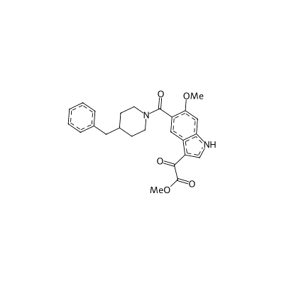 COC(=O)C(=O)c1c[nH]c2cc(OC)c(C(=O)N3CCC(Cc4ccccc4)CC3)cc12